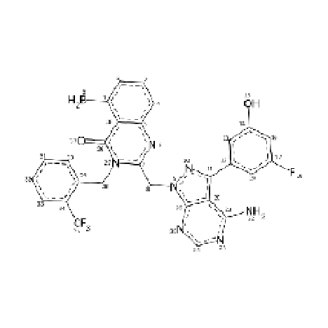 Bc1cccc2nc(Cn3nc(-c4cc(O)cc(F)c4)c4c(N)ncnc43)n(Cc3ccccc3C(F)(F)F)c(=O)c12